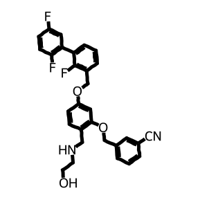 N#Cc1cccc(COc2cc(OCc3cccc(-c4cc(F)ccc4F)c3F)ccc2CNCCO)c1